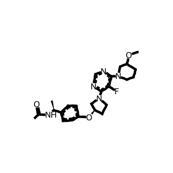 COC1CCCN(c2ncnc(N3CC[C@@H](Oc4ccc([C@H](C)NC(C)=O)cc4)C3)c2F)C1